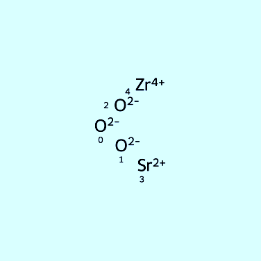 [O-2].[O-2].[O-2].[Sr+2].[Zr+4]